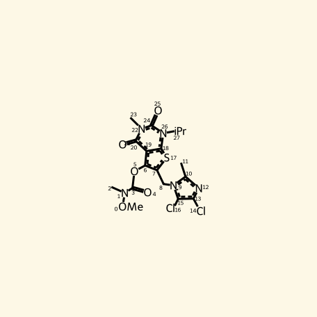 CON(C)C(=O)Oc1c(Cn2c(C)nc(Cl)c2Cl)sc2c1c(=O)n(C)c(=O)n2C(C)C